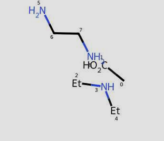 CC(=O)O.CCNCC.NCCN